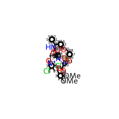 COc1ccc([C@H](Cc2c(Cl)c[n+]([O-])cc2Cl)OC(=O)C2CN(S(=O)(=O)c3cccc(COc4cccc([C@@H](NC(=O)O[C@H]5CN6CCC5CC6)c5ccccc5)c4)c3)C2)cc1OC